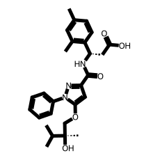 Cc1ccc([C@H](CC(=O)O)NC(=O)c2cc(OC[C@@](C)(O)C(C)C)n(-c3ccccc3)n2)c(C)c1